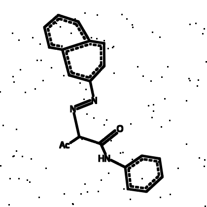 CC(=O)C(N=Nc1ccc2ccccc2c1)C(=O)Nc1ccccc1